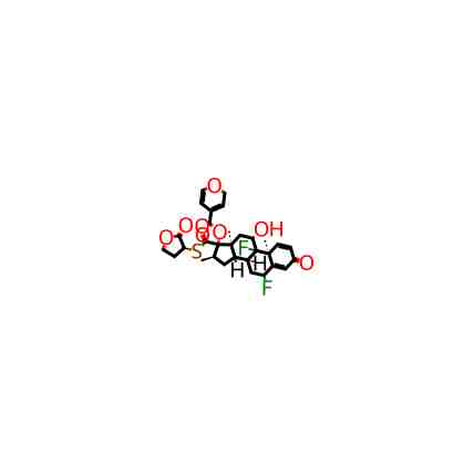 C[C@@H]1C[C@H]2[C@@H]3C[C@H](F)C4=CC(=O)C=C[C@]4(C)[C@@]3(F)[C@@H](O)C[C@]2(C)[C@@]1(OC(=O)C1=CCOC=C1)C(=O)S[C@H]1CCOC1=O